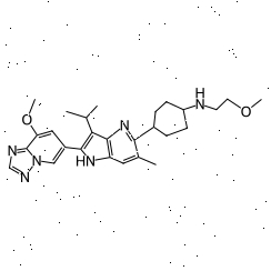 COCCNC1CCC(c2nc3c(C(C)C)c(-c4cc(OC)c5ncnn5c4)[nH]c3cc2C)CC1